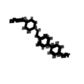 CCCCC[C@H]1CC[C@H](CCc2ncc(-c3ccc(CCC)cc3)cn2)CC1